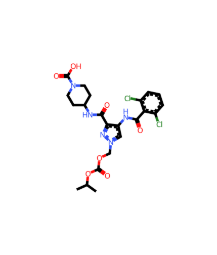 CC(C)OC(=O)OCn1cc(NC(=O)c2c(Cl)cccc2Cl)c(C(=O)NC2CCN(C(=O)O)CC2)n1